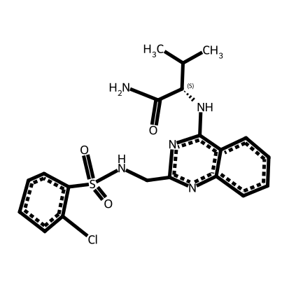 CC(C)[C@H](Nc1nc(CNS(=O)(=O)c2ccccc2Cl)nc2ccccc12)C(N)=O